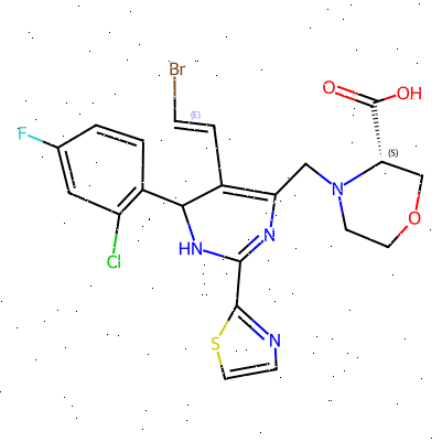 O=C(O)[C@@H]1COCCN1CC1=C(/C=C/Br)C(c2ccc(F)cc2Cl)NC(c2nccs2)=N1